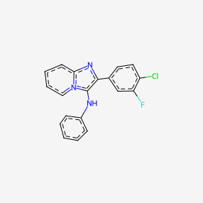 Fc1cc(-c2nc3ccccn3c2Nc2ccccc2)ccc1Cl